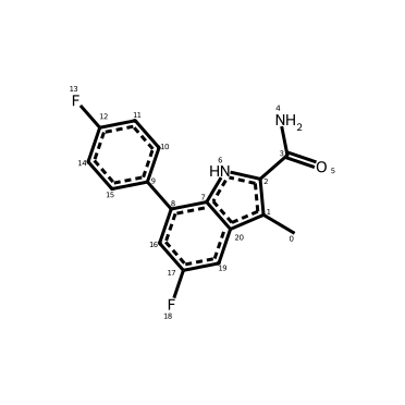 Cc1c(C(N)=O)[nH]c2c(-c3ccc(F)cc3)cc(F)cc12